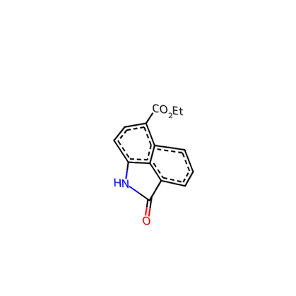 CCOC(=O)c1ccc2c3c(cccc13)C(=O)N2